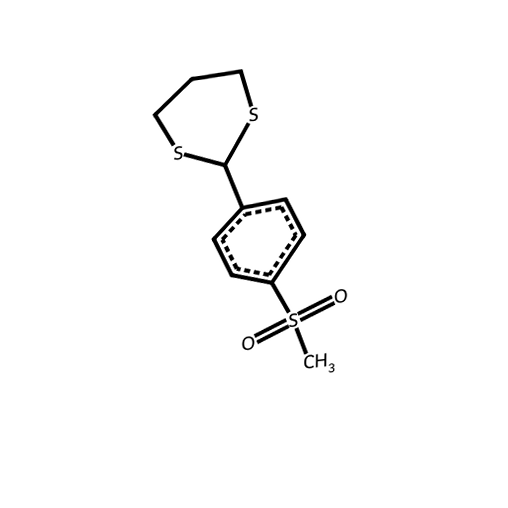 CS(=O)(=O)c1ccc(C2SCCCS2)cc1